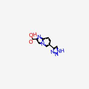 O=C(O)c1cn2cc(-c3c[nH]nn3)ccc2n1